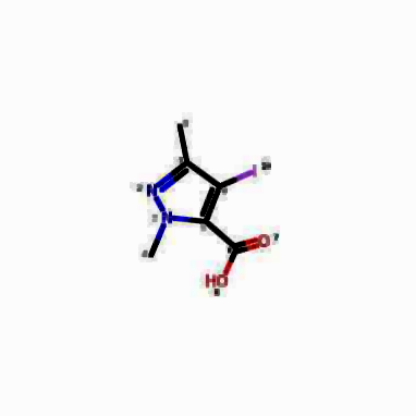 Cc1nn(C)c(C(=O)O)c1I